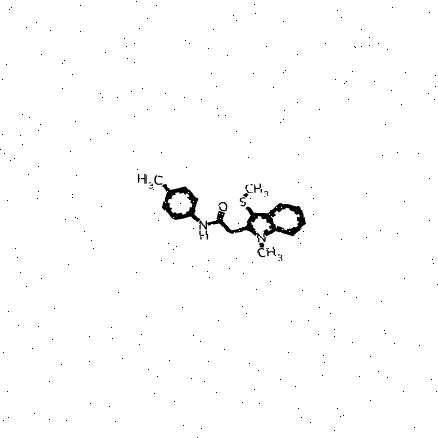 CSc1c(CC(=O)Nc2ccc(C)cc2)n(C)c2ccccc12